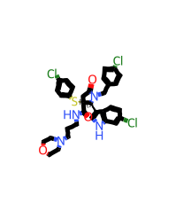 O=C1C[C@](Sc2ccc(Cl)cc2)(C(=O)NCCCN2CCOCC2)[C@H](c2c[nH]c3cc(Cl)ccc23)N1Cc1ccc(Cl)cc1